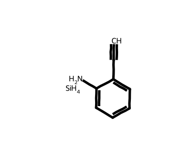 C#Cc1ccccc1N.[SiH4]